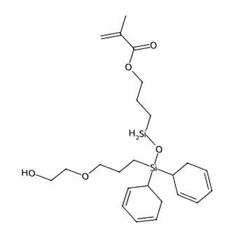 C=C(C)C(=O)OCCC[SiH2]O[Si](CCCOCCO)(C1C=CC=CC1)C1C=CC=CC1